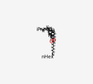 CCCCCCC=CCCCCCCCC(=O)OC1CC[C@@]2(C)C(=CC=C3[C@@H]4CC[C@H]([C@H](C)C=C[C@H](C)C(C)C)[C@@]4(C)CC[C@@H]32)C1